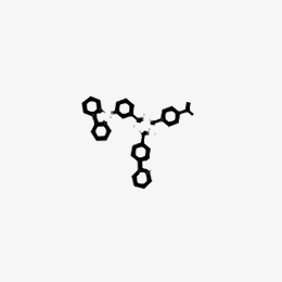 C=C(C)c1ccc(-c2nc(-c3cccc(-n4c5ccccc5c5ccccc54)c3)nc(-c3ccc4c(c3)sc3ccccc34)n2)cc1